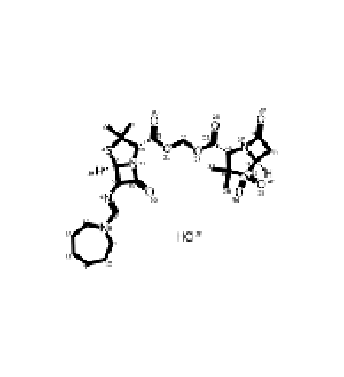 CC1(C)S[C@@H]2C(/N=C/N3CCCCCC3)C(=O)N2[C@H]1C(=O)OCOC(=O)[C@@H]1N2C(=O)C[C@H]2S(=O)(=O)C1(C)C.Cl